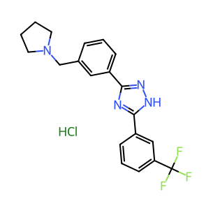 Cl.FC(F)(F)c1cccc(-c2nc(-c3cccc(CN4CCCC4)c3)n[nH]2)c1